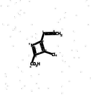 C=CC1=C(Cl)C(C(=O)O)=N1